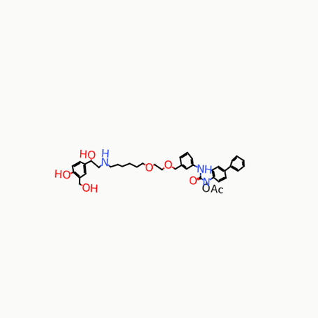 CC(=O)ON(C(=O)Nc1cccc(COCCOCCCCCCNC[C@@H](O)c2ccc(O)c(CO)c2)c1)c1ccc(-c2ccccc2)cc1